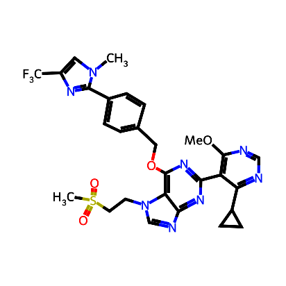 COc1ncnc(C2CC2)c1-c1nc(OCc2ccc(-c3nc(C(F)(F)F)cn3C)cc2)c2c(ncn2CCS(C)(=O)=O)n1